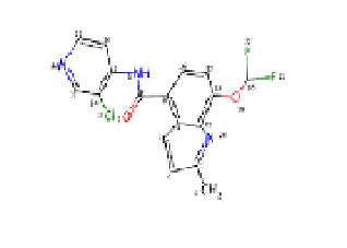 Cc1ccc2c(C(=O)Nc3ccncc3Cl)ccc(OC(F)F)c2n1